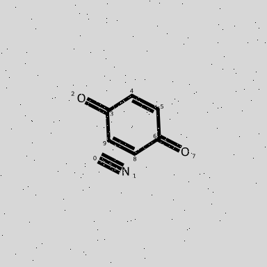 C#N.O=C1C=CC(=O)C=C1